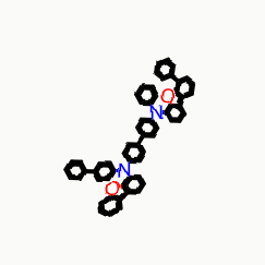 c1ccc(-c2ccc(N(c3ccc(-c4ccc(N(c5ccccc5)c5cccc6c5oc5c(-c7ccccc7)cccc56)cc4)cc3)c3cccc4c3oc3ccccc34)cc2)cc1